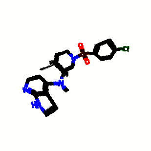 C[C@@H]1CCN(S(=O)(=O)c2ccc(Cl)cc2)C[C@@H]1N(C)c1ccnc2[nH]ccc12